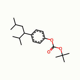 CC(C)CC(c1ccc(OC(=O)OC(C)(C)C)cc1)C(C)C